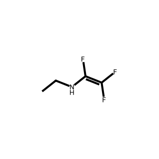 CCNC(F)=C(F)F